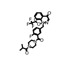 CC(C)C(=O)N1CCN(C(=O)c2cc(C[N+]3(OC(=O)C(F)(F)F)N=CC(=O)c4ccccc43)ccc2F)CC1